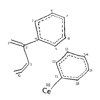 C=CC(=C)c1ccccc1.[Ce][c]1ccccc1